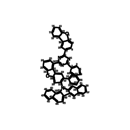 c1ccc(-c2nc(-c3ccc4oc5ccccc5c4c3)nc(-c3cccc4oc5cc(-n6c7cc8ccccc8cc7c7ccc8ccccc8c76)c(-c6ccccc6)cc5c34)n2)cc1